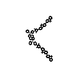 Cc1cc(-c2ccc3c(c2)C(C)(C)c2cc(-c4ccc5c(c4)C(C)(C)c4ccccc4-5)ccc2-3)cc(C)c1C1=CCC(N(c2ccccc2)c2ccc3c4c2C=CC2C=CC(N(c5ccccc5)c5ccc(-c6c(C)cc(-c7ccc8c(c7)C(C)(C)c7cc(-c9ccc%10c(c9)C(C)(C)c9ccccc9-%10)ccc7-8)cc6C)cc5)=C(C=C3)C42)C=C1